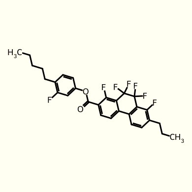 CCCCCc1ccc(OC(=O)c2ccc3c(c2F)C(F)(F)C(F)(F)c2c-3ccc(CCC)c2F)cc1F